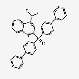 O=P(c1ccc(-c2ccccc2)cc1)(c1ccc(-c2ccccc2)cc1)c1cc(C(F)F)c2ccccc2n1